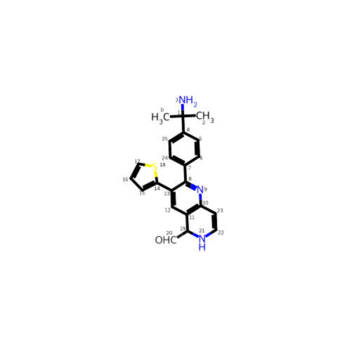 CC(C)(N)c1ccc(-c2nc3c(cc2-c2cccs2)C(C=O)NC=C3)cc1